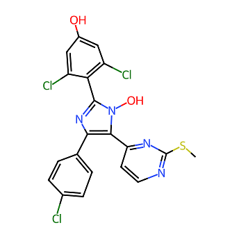 CSc1nccc(-c2c(-c3ccc(Cl)cc3)nc(-c3c(Cl)cc(O)cc3Cl)n2O)n1